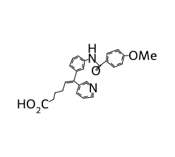 COc1ccc(C(=O)Nc2cccc(C(=CCCCC(=O)O)c3cccnc3)c2)cc1